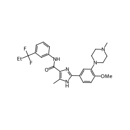 CCC(F)(F)c1cccc(NC(=O)c2nc(-c3ccc(OC)c(N4CCN(C)CC4)c3)[nH]c2C)c1